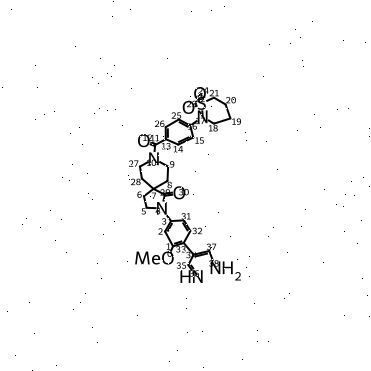 COc1cc(N2CCC3(CCN(C(=O)c4ccc(N5CCCCS5(=O)=O)cc4)CC3)C2=O)ccc1/C(C=N)=C/N